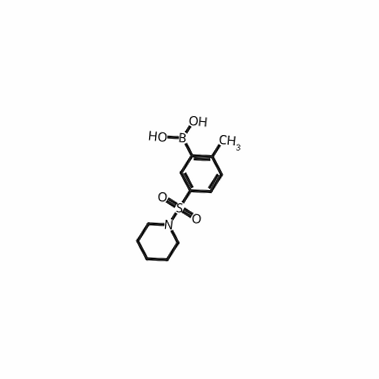 Cc1ccc(S(=O)(=O)N2CCCCC2)cc1B(O)O